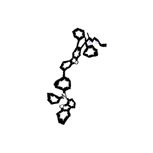 C=C/C=C\C=C(/C)C1(c2ccccc2)c2ccccc2-c2cc3c(cc21)oc1cc(-c2ccc(N(c4ccccc4)c4cccc5c4oc4ccccc45)cc2)ccc13